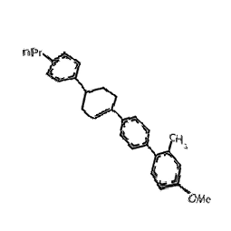 CCCc1ccc(C2CC=C(c3ccc(-c4ccc(OC)cc4C)cc3)CC2)cc1